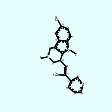 CN1Cc2c(n(C)c3ccc(Cl)cc23)C(/C=C(\O)c2cccnc2)C1